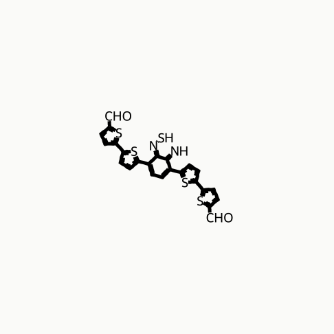 N=C1C(c2ccc(-c3ccc(C=O)s3)s2)=CC=C(c2ccc(-c3ccc(C=O)s3)s2)/C1=N/S